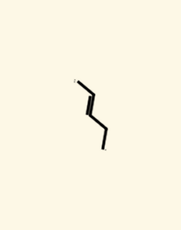 [CH]C=CC[CH2]